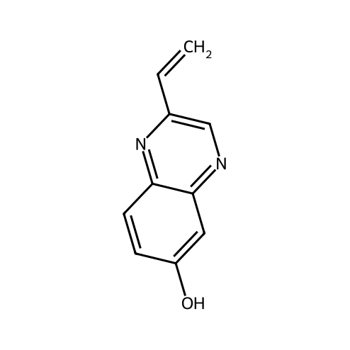 C=Cc1cnc2cc(O)ccc2n1